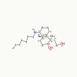 CCCCCCCN(C)C1CCC[C@H]2[C@H](CCO)C(O)CC[C@]12C